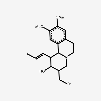 COc1cc2c(cc1OC)C1C(C=CI)C(O)C(CC(C)C)CN1CC2